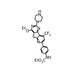 CCOC(=O)Nc1ccc(-c2cc(C(F)(F)F)c3c(n2)sc2c(OCC)nc(N4CCNCC4)nc23)cc1